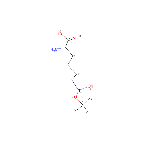 CC(C)(C)ON(O)CCCC[C@H](N)C(=O)O